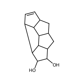 OC1C(O)C2C3C=CC4CC5CC1C2C5C43